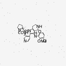 COc1c(Cl)cccc1Nc1c(-c2ccncc2C#C[C@]2(C)CCCN2C(=O)O)[nH]c2c1C(=O)NCC2